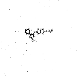 Cn1cc(CN2CC3CN(C(=O)O)CC3C2)c(-c2ccncc2)n1